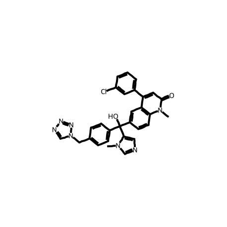 Cn1cncc1C(O)(c1ccc(Cn2cnnn2)cc1)c1ccc2c(c1)c(-c1cccc(Cl)c1)cc(=O)n2C